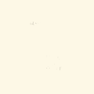 C/C=C(/C=C/C=C/CCCCCCCCCCC)OS(=O)(=O)C(F)(F)F